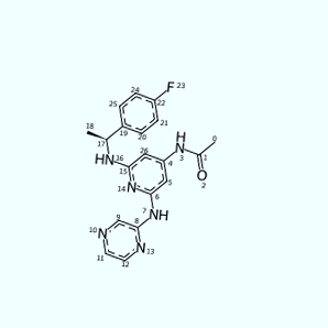 CC(=O)Nc1cc(Nc2cnccn2)nc(N[C@@H](C)c2ccc(F)cc2)c1